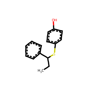 CCC(Sc1ccc(O)cc1)c1ccccc1